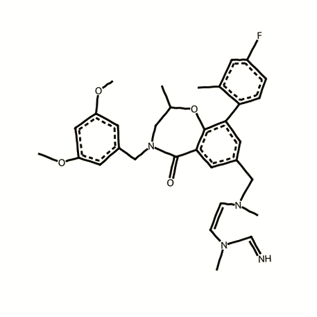 COc1cc(CN2CC(C)Oc3c(cc(CN(C)/C=C\N(C)C=N)cc3-c3ccc(F)cc3C)C2=O)cc(OC)c1